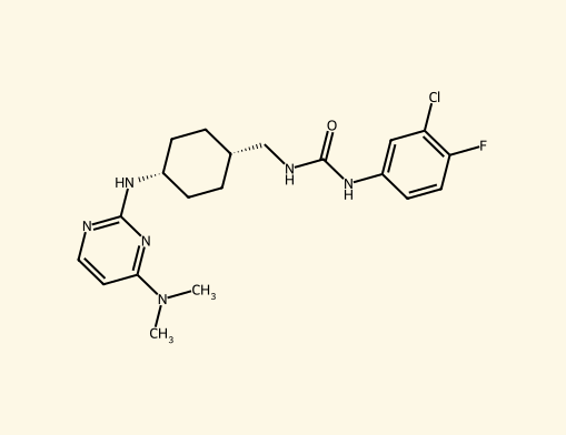 CN(C)c1ccnc(N[C@H]2CC[C@@H](CNC(=O)Nc3ccc(F)c(Cl)c3)CC2)n1